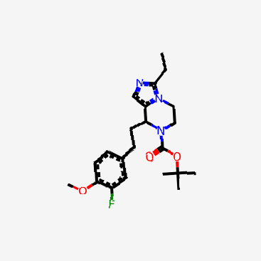 CCc1ncc2n1CCN(C(=O)OC(C)(C)C)C2CCc1ccc(OC)c(F)c1